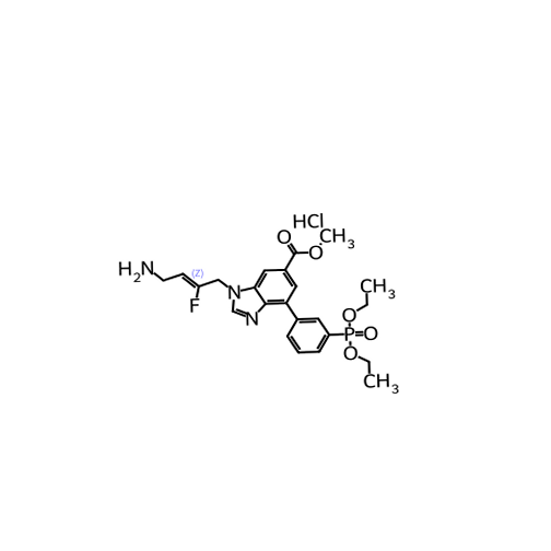 CCOP(=O)(OCC)c1cccc(-c2cc(C(=O)OC)cc3c2ncn3C/C(F)=C/CN)c1.Cl